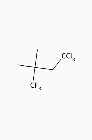 CC(C)(CC(Cl)(Cl)Cl)C(F)(F)F